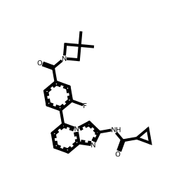 CC1(C)CN(C(=O)c2ccc(-c3cccc4nc(NC(=O)C5CC5)cn34)c(F)c2)C1